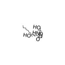 CCCCCCCC(C)(O)/C=C/C(NC(=O)C(C)(C)CO)C(=O)OC